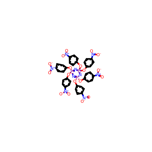 O=[N+]([O-])c1ccc(OP2(Oc3ccc([N+](=O)[O-])cc3)=NP(Oc3ccc([N+](=O)[O-])cc3)(Oc3ccc([N+](=O)[O-])cc3)=NP(Oc3ccc([N+](=O)[O-])cc3)(Oc3ccc([N+](=O)[O-])cc3)=N2)cc1